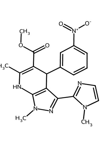 COC(=O)C1=C(C)Nc2c(c(-c3nccn3C)nn2C)C1c1cccc([N+](=O)[O-])c1